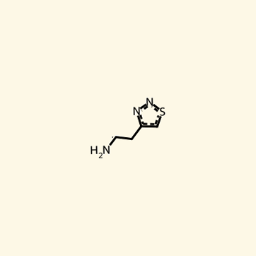 N[CH]Cc1csnn1